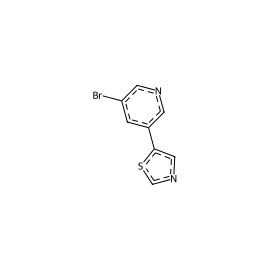 Brc1cncc(-c2cncs2)c1